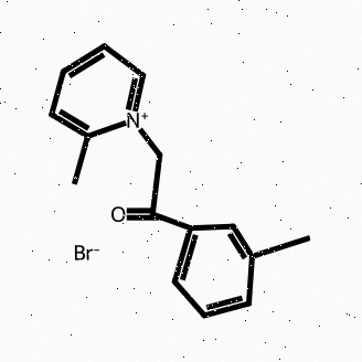 Cc1cccc(C(=O)C[n+]2ccccc2C)c1.[Br-]